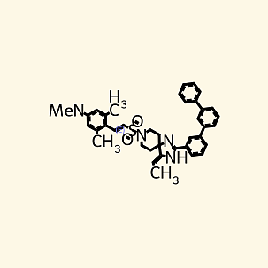 CC=C1NC(c2cccc(-c3cccc(-c4ccccc4)c3)c2)=NC12CCN(S(=O)(=O)/C=C/c1c(C)cc(NC)cc1C)CC2